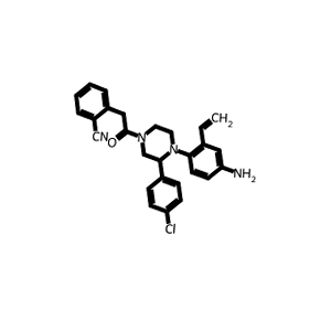 C=Cc1cc(N)ccc1N1CCN(C(=O)Cc2ccccc2C#N)CC1c1ccc(Cl)cc1